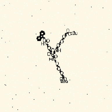 CC(C)(C)OC(=O)CCOCCOCCOCCNC(=O)CN(CC(=O)NCCOCCOCCOCCC(=O)OC(C)(C)C)C(=O)CCOCCNC(=O)OCC1c2ccccc2-c2ccccc21